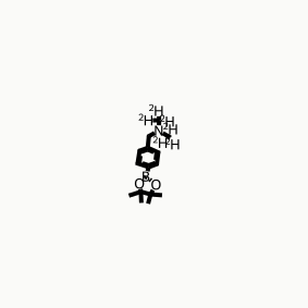 [2H]C([2H])([2H])N(Cc1ccc(B2OC(C)(C)C(C)(C)O2)cc1)C([2H])([2H])[2H]